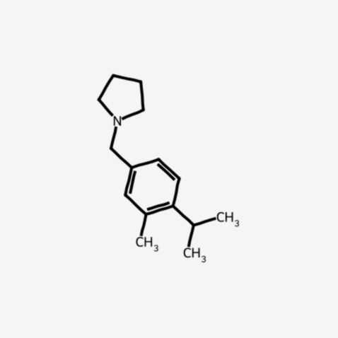 Cc1cc(CN2CCCC2)ccc1C(C)C